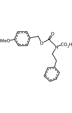 COc1ccc(COC(=O)N(CCc2ccccc2)C(=O)O)cc1